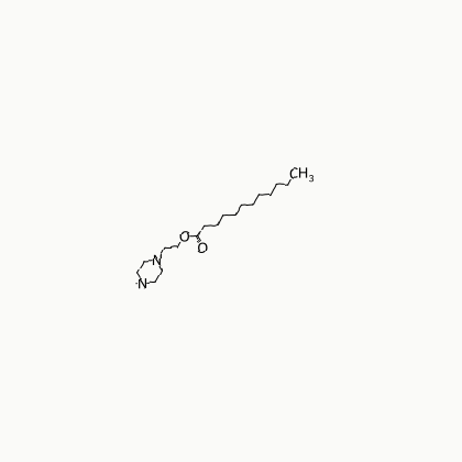 CCCCCCCCCCCC(=O)OCCN1CC[N]CC1